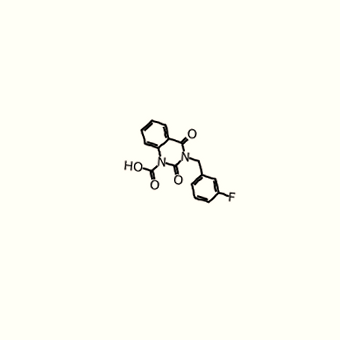 O=C(O)n1c(=O)n(Cc2cccc(F)c2)c(=O)c2ccccc21